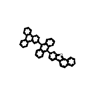 c1ccc2c(c1)ccc1c3ccc(-c4c5ccccc5c(-c5ccc6c7ccccc7c7ccccc7c6c5)c5ccccc45)cc3oc21